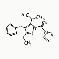 CCc1nn(C(=O)n2cccn2)c(C(C)C)c1Cc1ccccc1